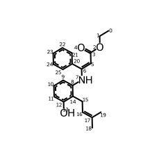 CCOC(=O)/C=C(/Nc1cccc(O)c1CC=C(C)C)c1ccccc1